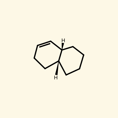 C1=C[C@@H]2CCCC[C@@H]2CC1